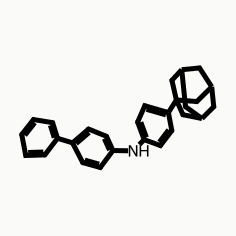 c1ccc(-c2ccc(Nc3ccc(C45CC6CC(CC(C6)C4)C5)cc3)cc2)cc1